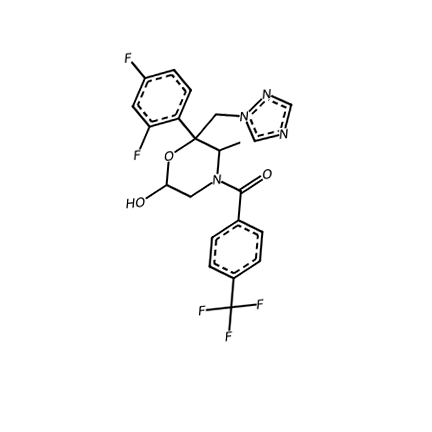 CC1N(C(=O)c2ccc(C(F)(F)F)cc2)CC(O)OC1(Cn1cncn1)c1ccc(F)cc1F